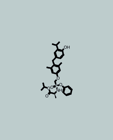 Cc1cc(OCP(=O)(N[C@@H](C)C(=O)OC(C)C)Oc2ccccc2)cc(C)c1Cc1ccc(O)c(C(C)C)c1